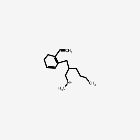 C=CC1=C(CC(CCCC)CNC)C=CCC1